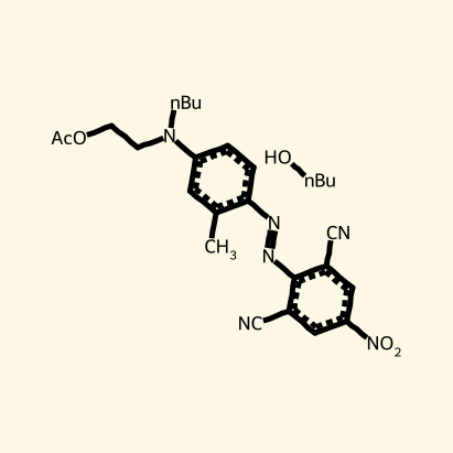 CCCCN(CCOC(C)=O)c1ccc(N=Nc2c(C#N)cc([N+](=O)[O-])cc2C#N)c(C)c1.[CH2]CCCO